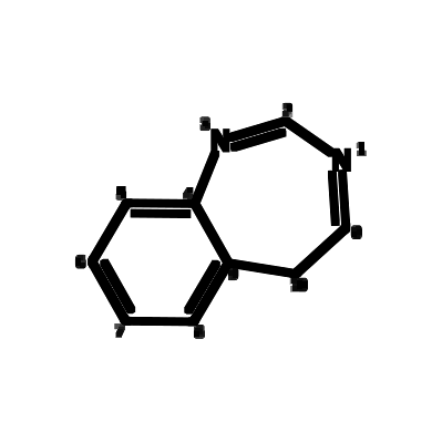 C1=NC=Nc2ccccc2C1